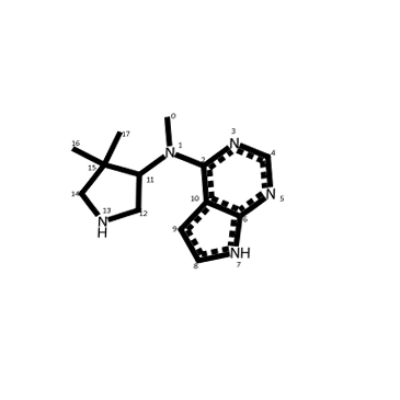 CN(c1ncnc2[nH]ccc12)C1CNCC1(C)C